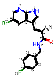 N#C/C(=C\c1c[nH]c2ncc(Br)cc12)C(=O)NCc1ccc(F)cc1